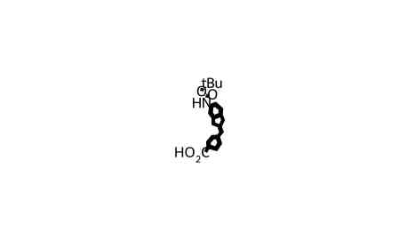 CC(C)(C)OC(=O)Nc1ccc2c(c1)C/C(=C\c1ccc(C(=O)O)cc1)C2